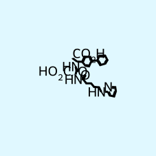 O=C(O)CC(NC(=O)[C@@H](CC(=O)O)NC(=O)CCCCNc1ccccn1)c1ccc(-c2ccccc2)cc1